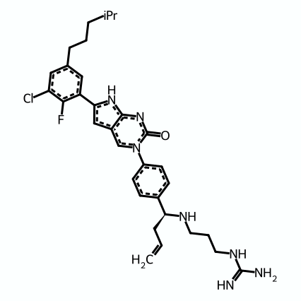 C=CC[C@H](NCCCNC(=N)N)c1ccc(-n2cc3cc(-c4cc(CCCC(C)C)cc(Cl)c4F)[nH]c3nc2=O)cc1